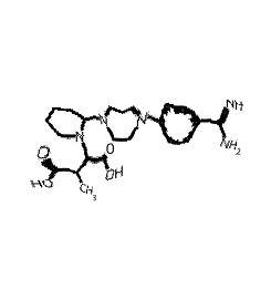 CC(C(=O)O)C(C(=O)O)N1CCCCC1N1CCN(c2ccc(C(=N)N)cc2)CC1